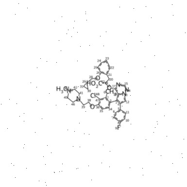 Cc1c(-c2c(-c3ccc(F)cc3)cn3ncnc(O[C@H](Cc4ccccc4OCC4CC4)C(=O)O)c23)ccc(OCCN2CCN(C)CC2)c1Cl